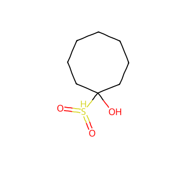 O=[SH](=O)C1(O)CCCCCCC1